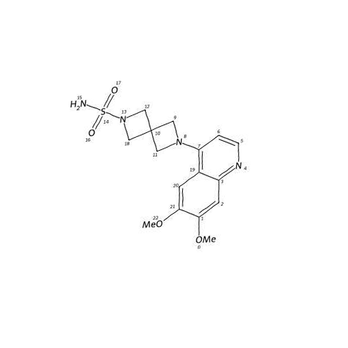 COc1cc2nccc(N3CC4(C3)CN(S(N)(=O)=O)C4)c2cc1OC